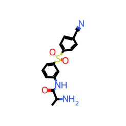 CC(N)C(=O)Nc1cccc(S(=O)(=O)c2ccc(C#N)cc2)c1